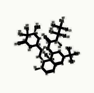 [2H]C([2H])([2H])[C@H]1C=C2C=C[C@H](C)[C@H](CCC3C[C@@H](O)C([2H])([2H])C(=O)O3)[C@H]2[C@@H](OC(=O)[C@@H](C)C([2H])([2H])C([2H])([2H])[2H])C1